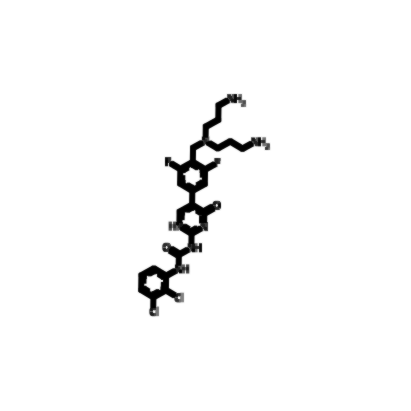 NCCCN(CCCN)Cc1c(F)cc(-c2c[nH]c(NC(=O)Nc3cccc(Cl)c3Cl)nc2=O)cc1F